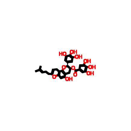 CC(C)=CCCC1=CCc2c(cc(O)c3c2O[C@H](c2cc(O)c(O)c(O)c2)[C@H](OC(=O)c2cc(O)c(O)c(O)c2)C3)O1